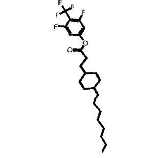 CCCCCCCCC1CCC(CCC(=O)Oc2cc(F)c(C(F)(F)F)c(F)c2)CC1